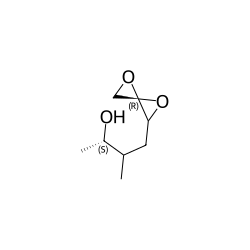 CC(CC1O[C@]12CO2)[C@H](C)O